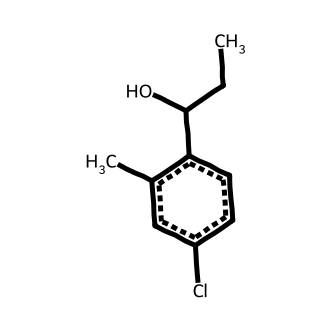 CCC(O)c1ccc(Cl)cc1C